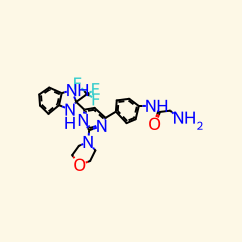 NCC(=O)Nc1ccc(-c2cc(C3(C(F)(F)F)Nc4ccccc4N3)nc(N3CCOCC3)n2)cc1